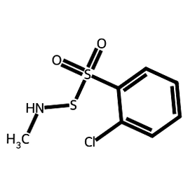 CNSS(=O)(=O)c1ccccc1Cl